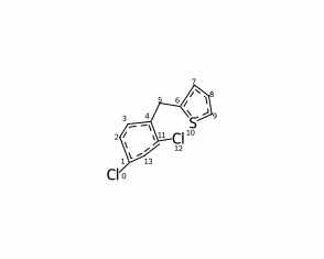 Clc1ccc(Cc2cccs2)c(Cl)c1